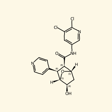 O=C(Nc1cnc(Cl)c(Cl)c1)[C@@H]1[C@H](c2ccncc2)[C@@H]2O[C@H]1C[C@H]2O